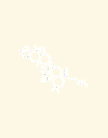 CC1(C)CC[C@]2(NCCN)CC[C@]3(C)[C@H](C(=O)C=C4[C@@]5(C)Cc6cnoc6C(C)(C)[C@@H]5CC[C@]43C)[C@@H]2C1